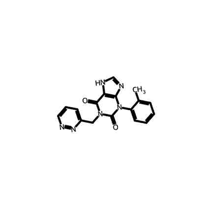 Cc1ccccc1-n1c(=O)n(Cc2cccnn2)c(=O)c2[nH]cnc21